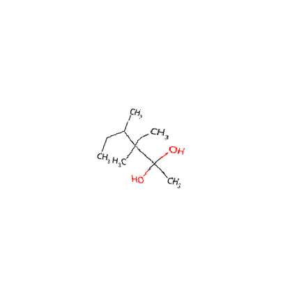 CCC(C)C(C)(C)C(C)(O)O